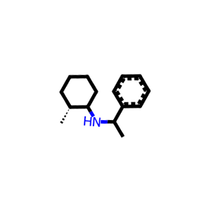 CC(NC1CCCC[C@H]1C)c1ccccc1